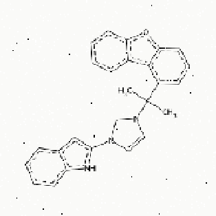 CC(C)(c1cccc2oc3ccccc3c12)N1C=CN(c2cc3ccccc3[nH]2)C1